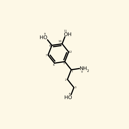 NC(CCO)c1ccc(O)c(O)c1